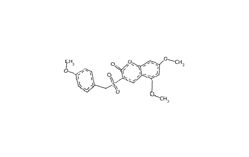 COc1ccc(CS(=O)(=O)c2cc3c(OC)cc(OC)cc3oc2=O)cc1